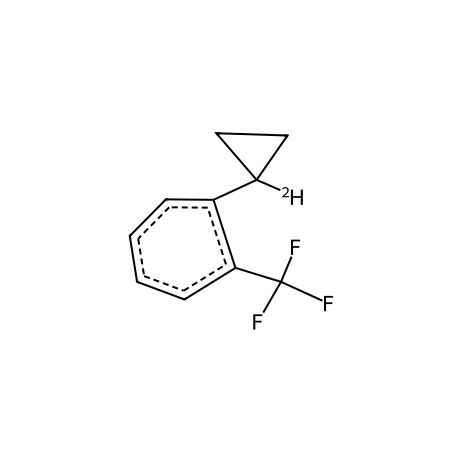 [2H]C1(c2ccccc2C(F)(F)F)CC1